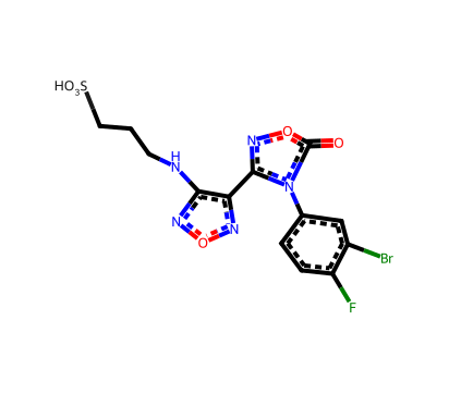 O=c1onc(-c2nonc2NCCCS(=O)(=O)O)n1-c1ccc(F)c(Br)c1